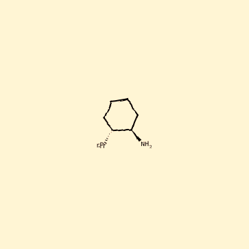 CCC[C@@H]1CCCC[C@H]1N